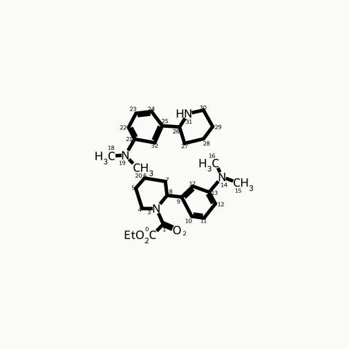 CCOC(=O)C(=O)N1CCCCC1c1cccc(N(C)C)c1.CN(C)c1cccc(C2CCCCN2)c1